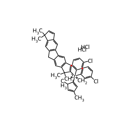 Cl.Cl.[CH2]=[Zr]([C]1=CC(C)=CC1C)([C]1=Cc2cc3c(cc2C1(C)C)Cc1cc2c(cc1-3)C=CC2(C)C)([c]1cccc(Cl)c1)[c]1cccc(Cl)c1